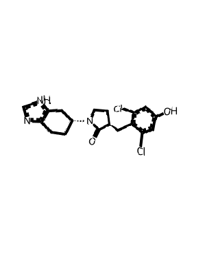 O=C1[C@H](Cc2c(Cl)cc(O)cc2Cl)CCN1[C@@H]1CCc2nc[nH]c2C1